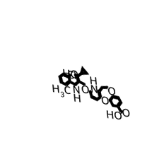 Cc1cccc(Cl)c1C(=N)/C(COC1C=CC2=C(CCOC3=CC=C(C(=O)O)CC3O2)N1)=C(\O)C1CC1